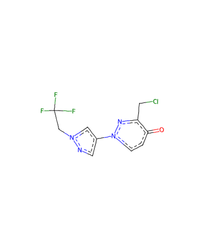 O=c1ccn(-c2cnn(CC(F)(F)F)c2)nc1CCl